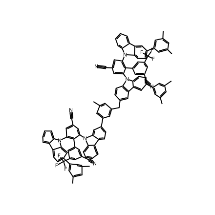 Cc1cc(C)cc(-c2ccc3c(c2)c2ccccc2n3-c2cc(C#N)cc(-n3c4ccc(Cc5cc(C)cc(-c6ccc7c8ccccc8n(-c8cc(C#N)cc(-n9c%10ccccc%10c%10ccc(-c%11cc(C)cc(C)c%11)cc%109)c8-c8cc(C#N)cc(C(F)(F)F)c8)c7c6)c5)cc4c4cc(-c5cc(C)cc(C)c5)ccc43)c2-c2cc(C#N)cc(C(F)(F)F)c2)c1